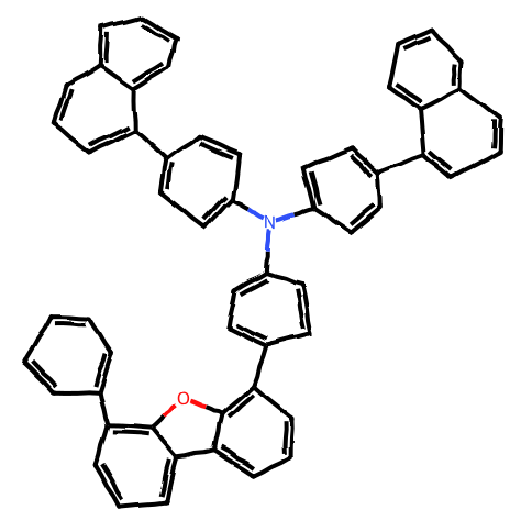 c1ccc(-c2cccc3c2oc2c(-c4ccc(N(c5ccc(-c6cccc7ccccc67)cc5)c5ccc(-c6cccc7ccccc67)cc5)cc4)cccc23)cc1